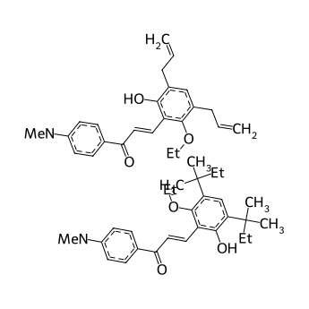 C=CCc1cc(CC=C)c(OCC)c(C=CC(=O)c2ccc(NC)cc2)c1O.CCOc1c(C(C)(C)CC)cc(C(C)(C)CC)c(O)c1C=CC(=O)c1ccc(NC)cc1